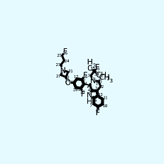 C[C@@H]1Cc2c([nH]c3cc(F)ccc23)[C@@H](c2c(F)cc(OC3CN(CCCF)C3)cc2F)N1CC(C)(C)F